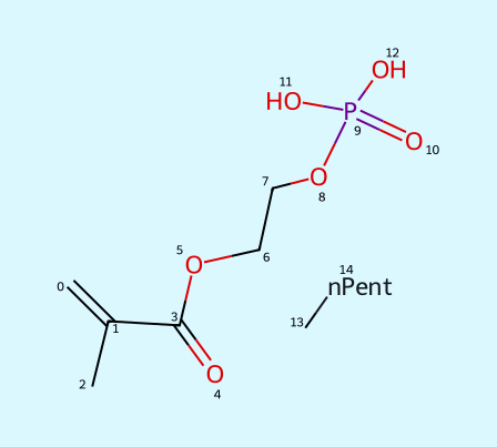 C=C(C)C(=O)OCCOP(=O)(O)O.CCCCCC